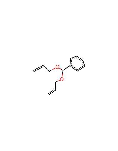 C=CCOC(OCC=C)c1ccccc1